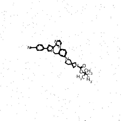 CC(C)(C)OC(=O)N1CC2(CCN(c3ccc4c(c3)Cn3cc(-c5ccc(C#N)cc5)cc3-c3nccn3-4)C2)C1